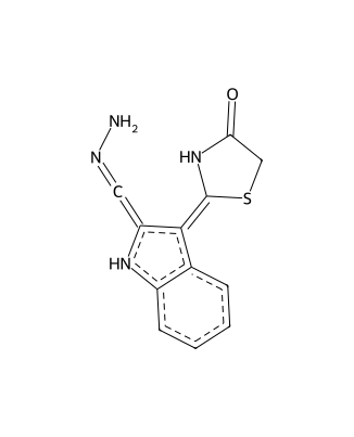 NN=C=c1[nH]c2ccccc2c1=C1NC(=O)CS1